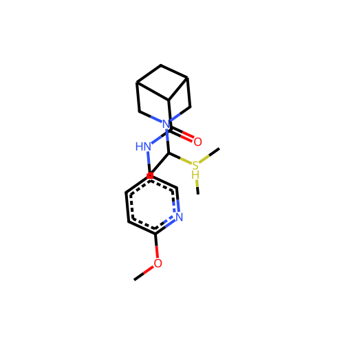 COc1ccc(NC(=O)C2C3CC2CN(C(C)[SH](C)C)C3)cn1